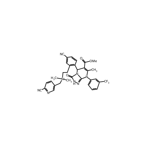 COC(=O)C1=C(C)N(c2cccc(C(F)(F)F)c2)c2n[nH]c(=O)n2C1c1ccc(C#N)cc1CC[N+](C)(C)Cc1ccc(C#N)nc1